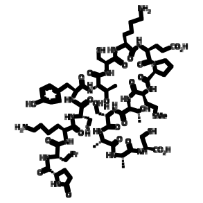 CSCC[C@H](NC(=O)[C@@H]1CCCN1C(=O)[C@H](CCC(=O)O)NC(=O)[C@H](CCCCN)NC(=O)[C@H](CS)NC(=O)[C@@H](NC(=O)[C@H](Cc1ccc(O)cc1)NC(=O)[C@H](CS)NC(=O)[C@H](CCCCN)NC(=O)[C@H](CC(C)C)NC(=O)[C@@H]1CCC(=O)N1)[C@@H](C)O)C(=O)N[C@H](C(=O)N[C@@H](CO)C(=O)N[C@@H](C)C(=O)N[C@@H](C)C(=O)N[C@@H](CS)C(=O)O)[C@@H](C)O